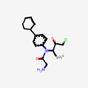 NCC(=O)N(c1ccc(C2CCCCC2)cc1)C(C(=O)O)C(=O)CCl